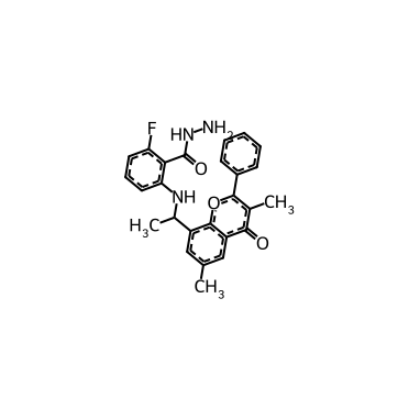 Cc1cc(C(C)Nc2cccc(F)c2C(=O)NN)c2oc(-c3ccccc3)c(C)c(=O)c2c1